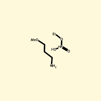 CCO[PH](=O)O.COCCCN